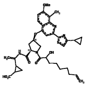 C=CCCCCCC(O)C(=O)N1C[C@H](Oc2cc(-c3nc(C4CC4)cs3)nc3c(C)c(OC)ccc23)C[C@@H]1C(=O)NC(=C)C1CC1C(=O)O